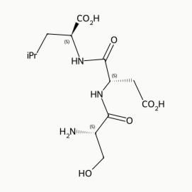 CC(C)C[C@H](NC(=O)[C@H](CC(=O)O)NC(=O)[C@@H](N)CO)C(=O)O